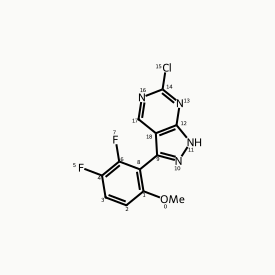 COc1ccc(F)c(F)c1-c1n[nH]c2nc(Cl)ncc12